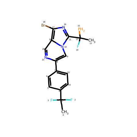 CC(F)(F)c1ccc(-c2cn3c(C(C)(F)P)nc(Br)c3cn2)cc1